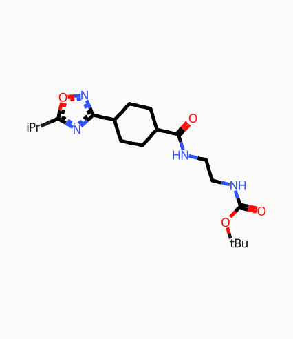 CC(C)c1nc(C2CCC(C(=O)NCCNC(=O)OC(C)(C)C)CC2)no1